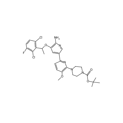 COc1ccc(-c2cnc(N)c(OC(C)c3c(Cl)ccc(F)c3Cl)c2)nc1N1CCN(C(=O)OC(C)(C)C)CC1